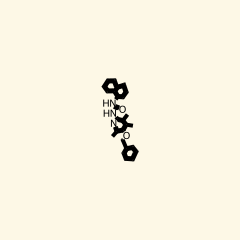 Cc1nc(NC(=O)Nc2cccc3ccccc23)c(C)c(C)c1OCc1ccccc1